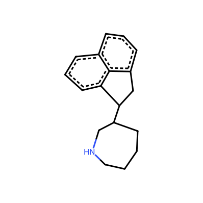 c1cc2c3c(cccc3c1)C(C1CCCCNC1)C2